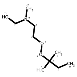 CCC(C)(C)OOCCN(C)CO